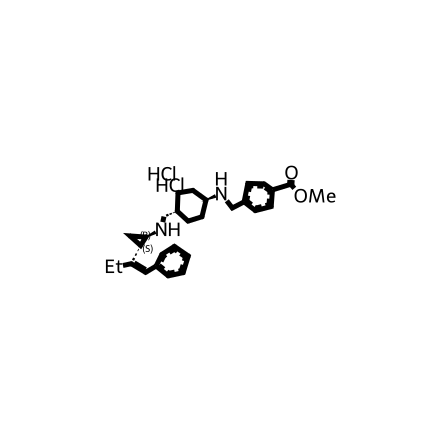 CCC(=Cc1ccccc1)[C@@H]1C[C@H]1NC[C@H]1CC[C@H](NCc2ccc(C(=O)OC)cc2)CC1.Cl.Cl